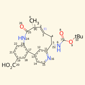 C[C@@H]1/C=C/C[C@H](NC(=O)OC(C)(C)C)c2cc(ccn2)-c2cc(C(=O)O)ccc2NC1=O